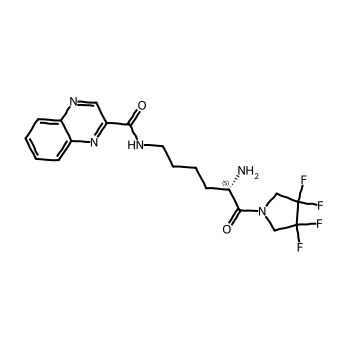 N[C@@H](CCCCNC(=O)c1cnc2ccccc2n1)C(=O)N1CC(F)(F)C(F)(F)C1